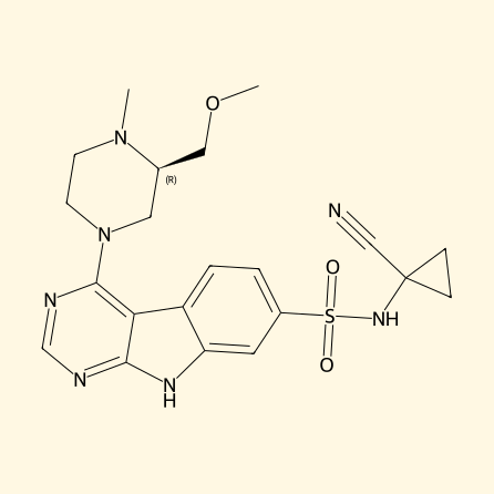 COC[C@H]1CN(c2ncnc3[nH]c4cc(S(=O)(=O)NC5(C#N)CC5)ccc4c23)CCN1C